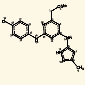 COCc1cc(Nc2cc(C)n[nH]2)nc(Nc2ccc(Cl)cc2)n1